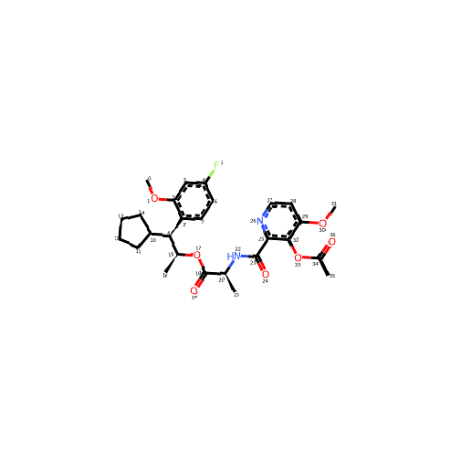 COc1cc(F)ccc1[C@H](C1CCCC1)[C@H](C)OC(=O)[C@H](C)NC(=O)c1nccc(OC)c1OC(C)=O